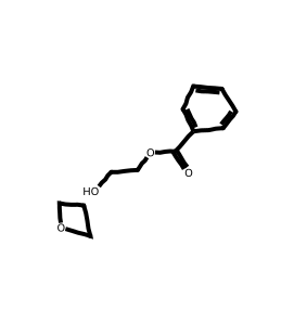 C1COC1.O=C(OCCO)c1ccccc1